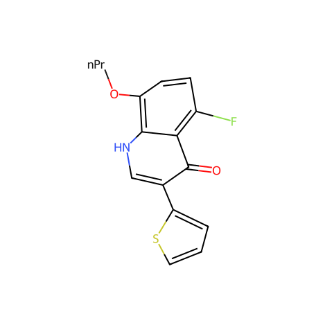 CCCOc1ccc(F)c2c(=O)c(-c3cccs3)c[nH]c12